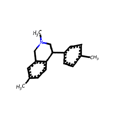 Cc1ccc(C2CN(C)Cc3cc(C)ccc32)cc1